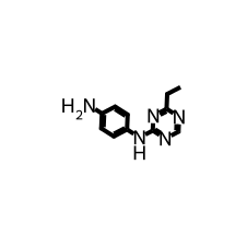 CCc1ncnc(Nc2ccc(N)cc2)n1